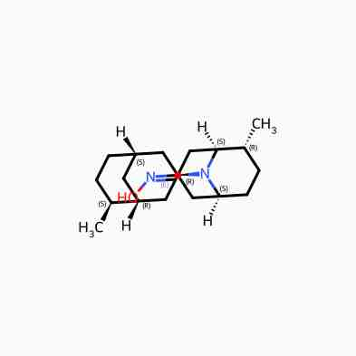 C[C@@H]1CC[C@H]2C/C(=N\O)C[C@@H]1N2[C@@H]1C[C@H]2CC[C@H](C)[C@H](C2)C1